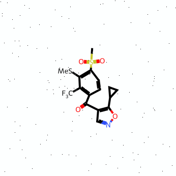 CSc1c(S(C)(=O)=O)ccc(C(=O)c2cnoc2C2CC2)c1C(F)(F)F